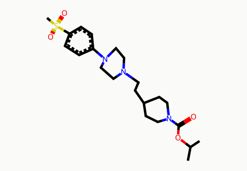 CC(C)OC(=O)N1CCC(CCN2CCN(c3ccc(S(C)(=O)=O)cc3)CC2)CC1